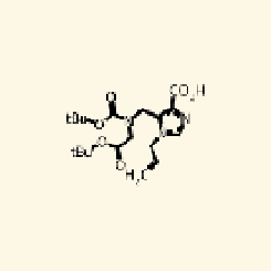 C=CCn1cnc(C(=O)O)c1CN(CC(=O)OC(C)(C)C)C(=O)OC(C)(C)C